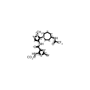 Cn1ncc(NC(=O)c2nc(Br)sc2NC(=O)O)c1N1CCCC(NC(=O)C(F)(F)F)CC1